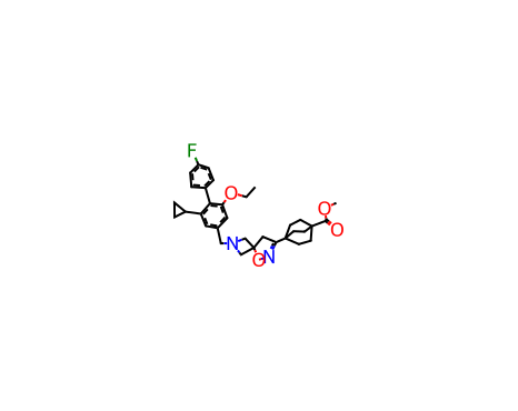 CCOc1cc(CN2CC3(CC(C45CCC(C(=O)OC)(CC4)CC5)=NO3)C2)cc(C2CC2)c1-c1ccc(F)cc1